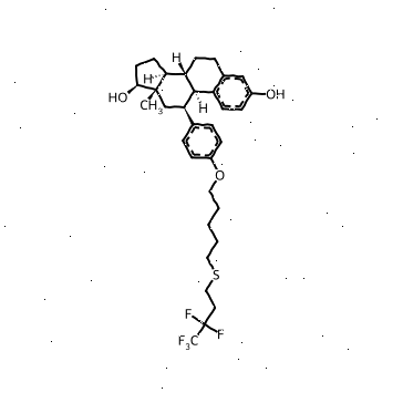 C[C@]12C[C@H](c3ccc(OCCCCCSCCC(F)(F)C(F)(F)F)cc3)[C@@H]3c4ccc(O)cc4CC[C@H]3[C@@H]1CC[C@@H]2O